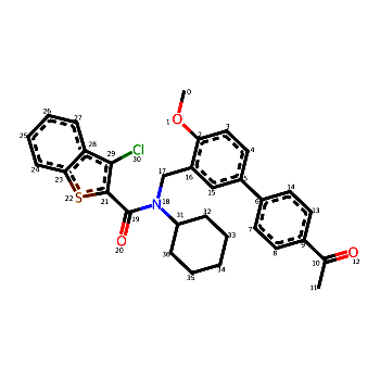 COc1ccc(-c2ccc(C(C)=O)cc2)cc1CN(C(=O)c1sc2ccccc2c1Cl)C1CCCCC1